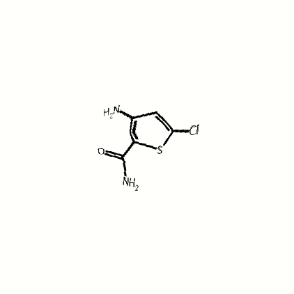 NC(=O)c1sc(Cl)cc1N